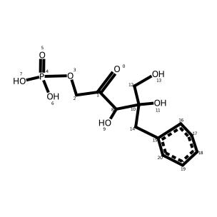 O=C(COP(=O)(O)O)C(O)C(O)(CO)Cc1ccccc1